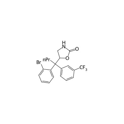 CCCC(c1cccc(C(F)(F)F)c1)(c1ccccc1Br)C1CNC(=O)O1